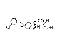 O=C(O)C1CC(O)CCN1S(=O)(=O)c1ccc(OCc2cccc(Cl)c2)cc1